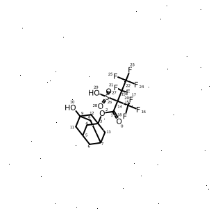 O=C(OC12CC3CC(CC(O)(C3)C1)C2)C(C(F)(F)F)(C(F)(F)C(F)(F)F)S(=O)(=O)O